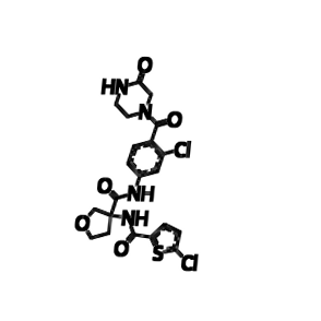 O=C1CN(C(=O)c2ccc(NC(=O)C3(NC(=O)c4ccc(Cl)s4)CCOC3)cc2Cl)CCN1